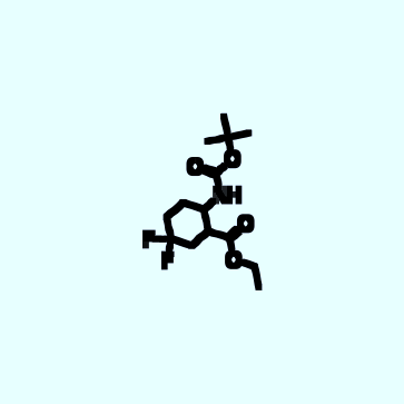 CCOC(=O)C1CC(F)(F)CCC1NC(=O)OC(C)(C)C